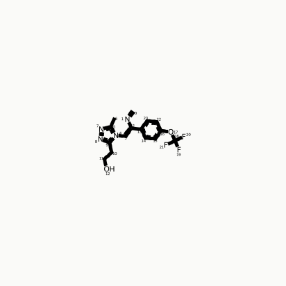 C=N/C(=C\n1c(C)nnc1CCO)c1ccc(OC(F)(F)F)cc1